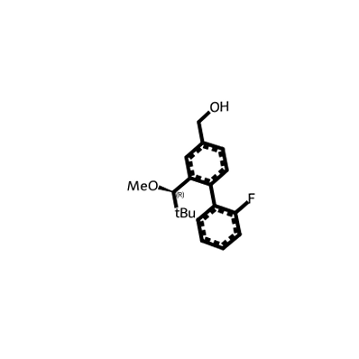 CO[C@@H](c1cc(CO)ccc1-c1ccccc1F)C(C)(C)C